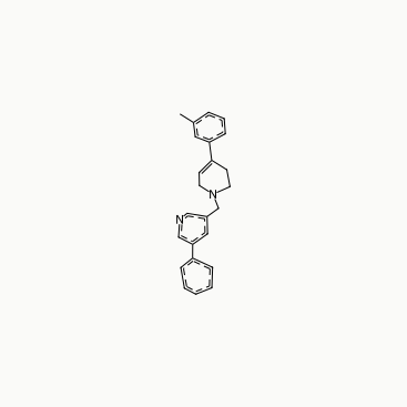 Cc1cccc(C2=CCN(Cc3cncc(-c4ccccc4)c3)CC2)c1